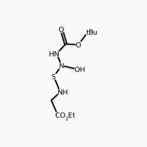 CCOC(=O)CNSN(O)NC(=O)OC(C)(C)C